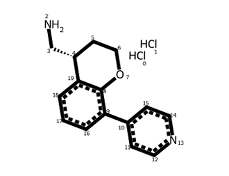 Cl.Cl.NC[C@@H]1CCOc2c(-c3ccncc3)cccc21